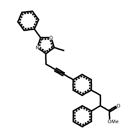 COC(=O)C(Cc1ccc(C#CCc2nc(-c3ccccc3)oc2C)cc1)c1ccccc1